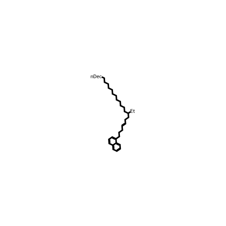 CCCCCCCCCCCCCCCCCCCCCCC(CC)CCC=CCCCc1cccc2ccccc12